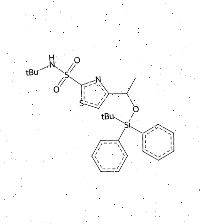 CC(O[Si](c1ccccc1)(c1ccccc1)C(C)(C)C)c1csc(S(=O)(=O)NC(C)(C)C)n1